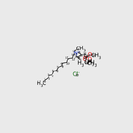 CCCCCCCCCCCCCC[N+](CC)(CC)CCC[Si](OC)(OC)OC.[Cl-]